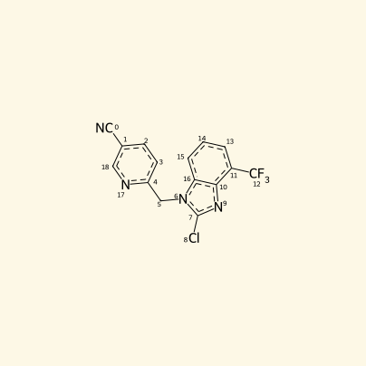 N#Cc1ccc(Cn2c(Cl)nc3c(C(F)(F)F)cccc32)nc1